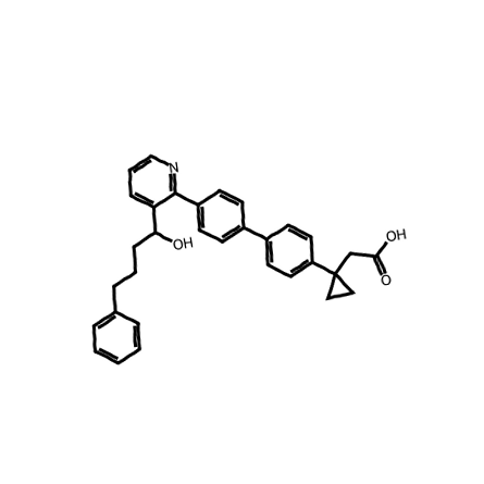 O=C(O)CC1(c2ccc(-c3ccc(-c4ncccc4C(O)CCCc4ccccc4)cc3)cc2)CC1